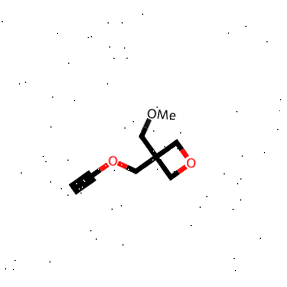 C#COCC1(COC)COC1